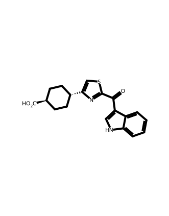 O=C(c1nc([C@H]2CC[C@H](C(=O)O)CC2)cs1)c1c[nH]c2ccccc12